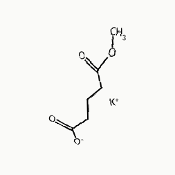 COC(=O)CCCC(=O)[O-].[K+]